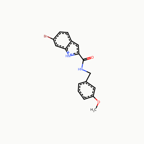 COc1cccc(CNC(=O)c2cc3ccc(Br)cc3[nH]2)c1